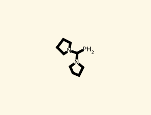 PC(N1CCCC1)N1CCCC1